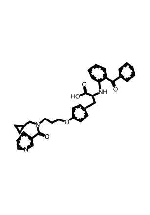 O=C(c1ccccc1)c1ccccc1NC(Cc1ccc(OCCCN(CC2CC2)C(=O)c2cccnc2)cc1)C(=O)O